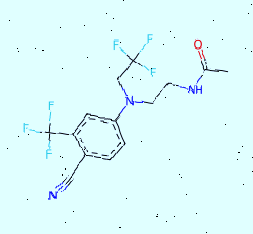 CC(=O)NCCN(CC(F)(F)F)c1ccc(C#N)c(C(F)(F)F)c1